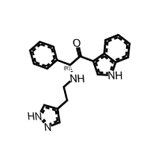 O=C(c1c[nH]c2ccccc12)[C@H](NCCc1cn[nH]c1)c1ccccc1